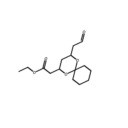 CCOC(=O)CC1CC(CC=O)OC2(CCCCC2)O1